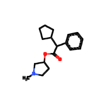 CN1CCC(OC(=O)C(c2ccccc2)C2CCCC2)C1